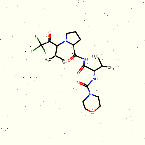 CC(C)C(C(=O)C(F)(F)F)N1CCC[C@H]1C(=O)NC(=O)[C@@H](NC(=O)N1CCOCC1)C(C)C